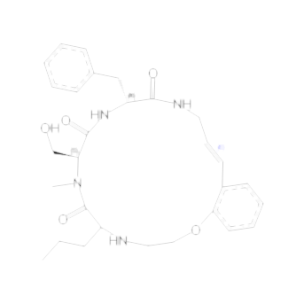 CCCC1NCCOc2ccccc2/C=C/CNC(=O)[C@@H](Cc2ccccc2)NC(=O)[C@H](CO)N(C)C1=O